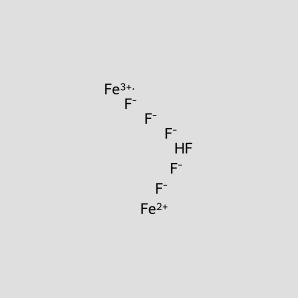 F.[F-].[F-].[F-].[F-].[F-].[Fe+2].[Fe+3]